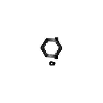 [Cu].c1cncnc1